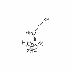 CCCCCCC[C@H](O)C#C[C@H]1[C@H](O)CC[C@]2(C)C(=O)C(C)[C@H]12